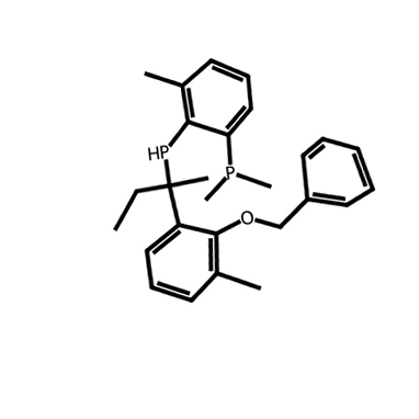 CCC(C)(Pc1c(C)cccc1P(C)C)c1cccc(C)c1OCc1ccccc1